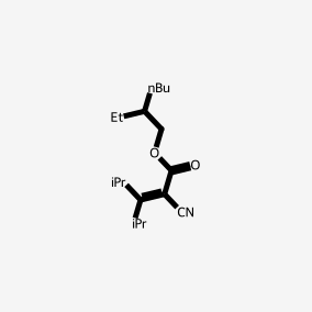 CCCCC(CC)COC(=O)C(C#N)=C(C(C)C)C(C)C